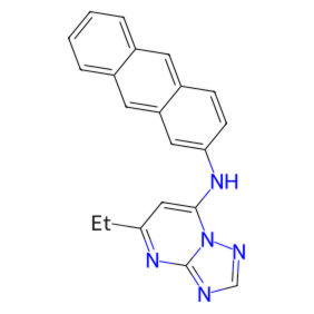 CCc1cc(Nc2ccc3cc4ccccc4cc3c2)n2ncnc2n1